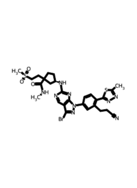 CNC(=O)C1(CCS(C)(=O)=O)CC[C@@H](Nc2ncc3c(Br)nn(-c4ccc(-c5nnc(C)s5)c(CCC#N)c4)c3n2)C1